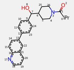 CC(C)C(=O)N1CCC(C(O)c2ccc(-c3ccc4ncccc4c3)cc2)CC1